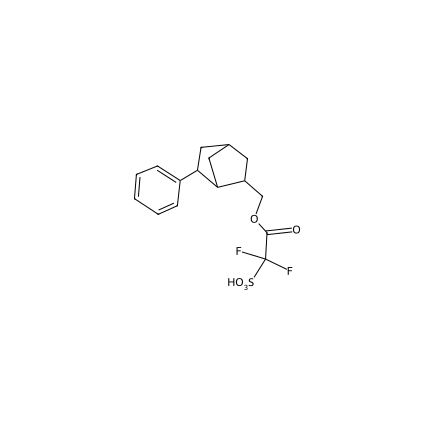 O=C(OCC1CC2CC(c3ccccc3)C1C2)C(F)(F)S(=O)(=O)O